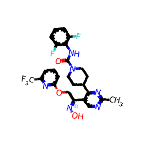 Cc1ncc(/C(COc2cccc(C(F)(F)F)n2)=N\O)c(C2CCN(C(=O)Nc3c(F)cccc3F)CC2)n1